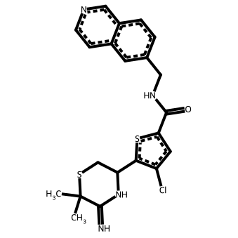 CC1(C)SCC(c2sc(C(=O)NCc3ccc4cnccc4c3)cc2Cl)NC1=N